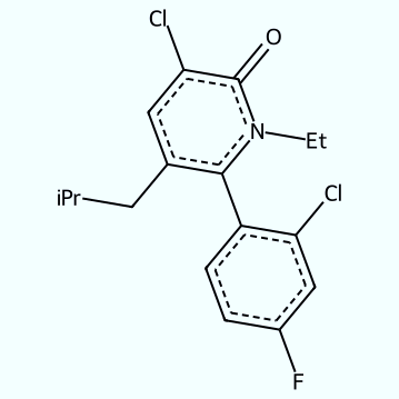 CCn1c(-c2ccc(F)cc2Cl)c(CC(C)C)cc(Cl)c1=O